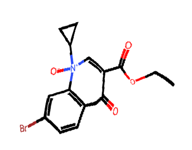 CCOC(=O)C1=C[N+]([O-])(C2CC2)c2cc(Br)ccc2C1=O